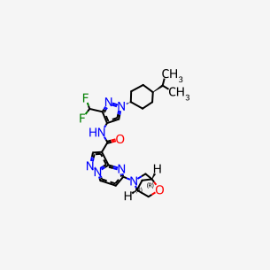 CC(C)[C@H]1CC[C@H](n2cc(NC(=O)c3cnn4ccc(N5C[C@H]6C[C@@H]5CO6)nc34)c(C(F)F)n2)CC1